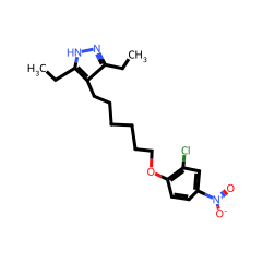 CCc1n[nH]c(CC)c1CCCCCCOc1ccc([N+](=O)[O-])cc1Cl